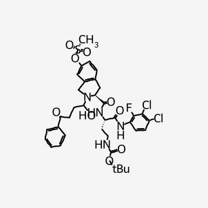 CC(C)(C)OC(=O)NCC[C@H](NC(=O)[C@@H]1Cc2ccc(OS(C)(=O)=O)cc2CN1C(O)CCC(=O)c1ccccc1)C(=O)Nc1ccc(Cl)c(Cl)c1F